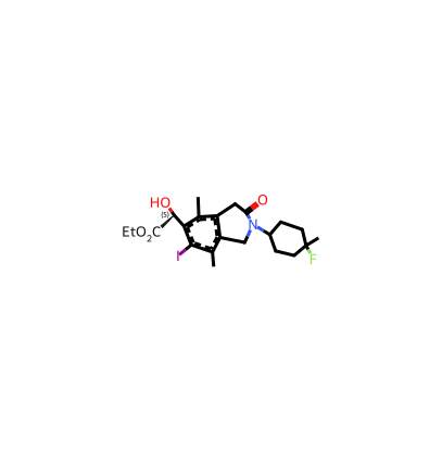 CCOC(=O)[C@@H](O)c1c(C)c2c(c(C)c1I)CN(C1CCC(C)(F)CC1)C(=O)C2